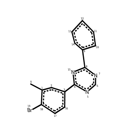 Cc1cc(-c2ncnc(-c3ccccc3)n2)ccc1Br